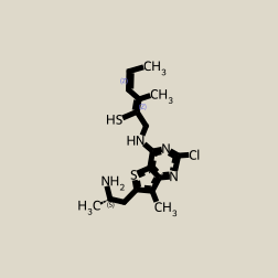 C/C=C\C(C)=C(/S)CNc1nc(Cl)nc2c(C)c(C[C@H](C)N)sc12